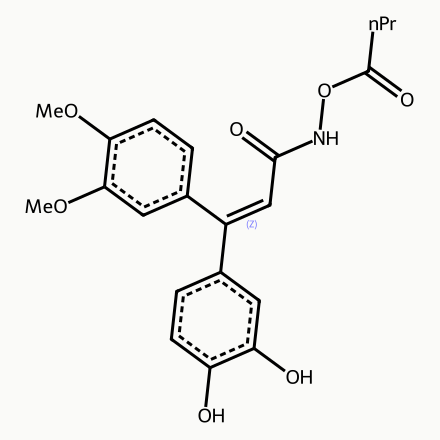 CCCC(=O)ONC(=O)/C=C(/c1ccc(O)c(O)c1)c1ccc(OC)c(OC)c1